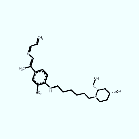 C=C/C=N\C=C(/C)c1ccc(NCCCCCCN2CC[C@@H](O)C[C@H]2CO)c([N+](=O)[O-])c1